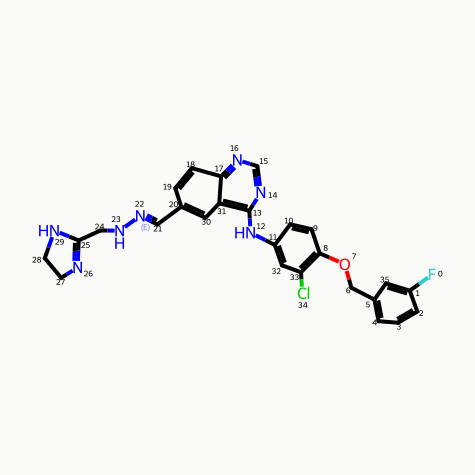 Fc1cccc(COc2ccc(Nc3ncnc4ccc(/C=N/NCC5=NCCN5)cc34)cc2Cl)c1